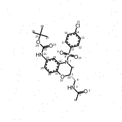 CC(=O)NC[C@H]1CN(S(=O)(=O)c2ccc(Cl)cc2)c2cc(NC(=O)OC(C)(C)C)ccc2O1